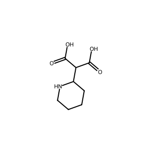 O=C(O)C(C(=O)O)C1CCCCN1